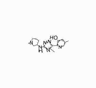 Cc1cnc(-c2nnc(NC3CCCN(C)C3)nc2C)c(O)c1